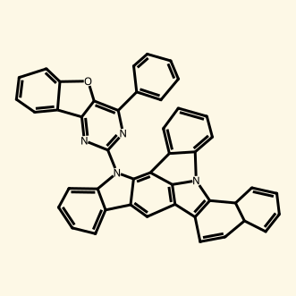 C1=CC2C=Cc3c(n4c5ccccc5c5c6c(cc3c54)c3ccccc3n6-c3nc(-c4ccccc4)c4oc5ccccc5c4n3)C2C=C1